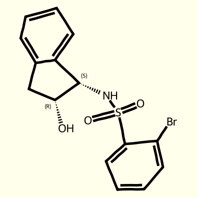 O=S(=O)(N[C@H]1c2ccccc2C[C@H]1O)c1ccccc1Br